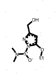 CCOc1cc(CO)nn1[S+]([O-])N(C)C